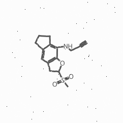 C#CCNc1c2c(cc3c1OC(S(C)(=O)=O)C3)CCC2